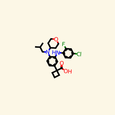 CC(C)CN(c1ccc(C2(C(=O)O)CCC2)cc1Nc1ccc(Cl)cc1F)C1CCOCC1